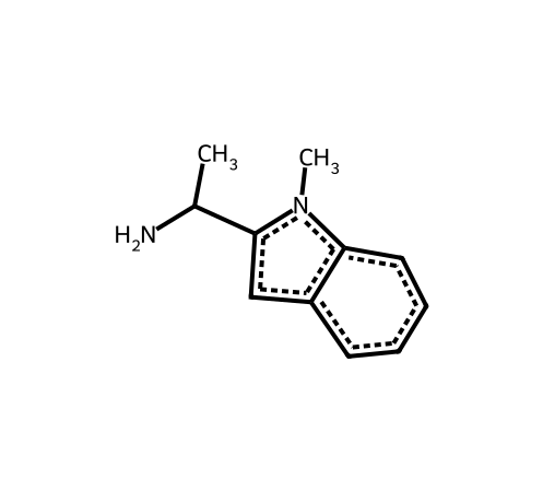 CC(N)c1cc2ccccc2n1C